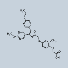 CCCc1ccc(-c2oc(COc3ccc(OCC(=O)O)c(C)c3)nc2-c2cnc(OC)nc2)cc1